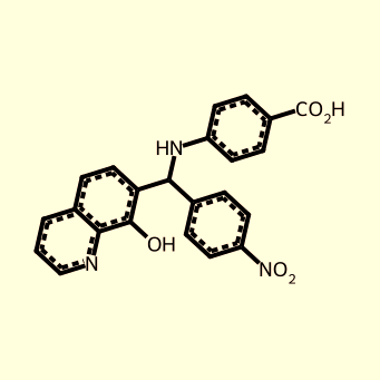 O=C(O)c1ccc(NC(c2ccc([N+](=O)[O-])cc2)c2ccc3cccnc3c2O)cc1